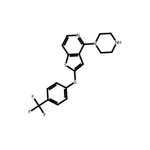 FC(F)(F)c1ccc(Sc2cc3c(N4CCNCC4)nccc3s2)cc1